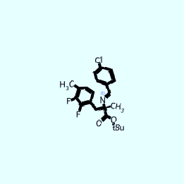 Cc1ccc(C[C@](C)(/N=C/c2ccc(Cl)cc2)C(=O)OC(C)(C)C)c(F)c1F